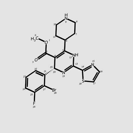 COC(=O)C1=C(C2CCNCC2)NC(c2nccs2)=N[C@@H]1c1cccc(F)c1Br